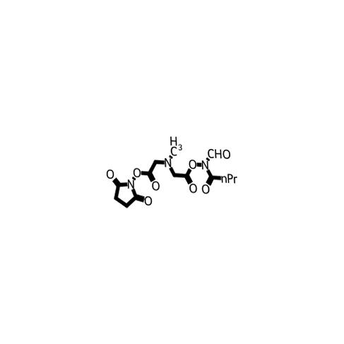 CCCC(=O)N(C=O)OC(=O)CN(C)CC(=O)ON1C(=O)CCC1=O